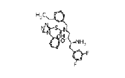 CCc1cccc(CN(C[C@@H](O)[C@@H](N)Cc2cc(F)cc(F)c2)C(=O)Sc2nncn2-c2ccccc2)c1